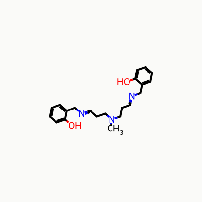 CN(CCC=NCc1ccccc1O)CCC=NCc1ccccc1O